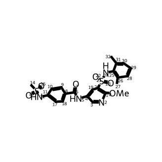 COc1ncc(NC(=O)c2ccc(NS(C)(=O)=O)cc2)cc1S(=O)(=O)Nc1c(C)cccc1C